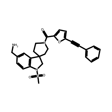 CS(=O)(=O)N1CC2(CCN(C(=O)c3ccc(C#Cc4ccccc4)o3)CC2)c2cc(CN)ccc21